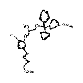 CCCCCCCCCCCCCCc1ccc(CC)c(OCC(O)COC(c2ccccc2)(c2ccccc2)c2ccc(OC)cc2)c1